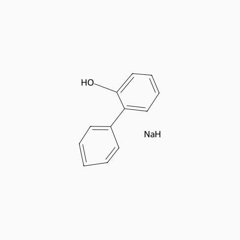 Oc1ccccc1-c1ccccc1.[NaH]